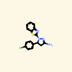 NC1=NN(c2nc3ccccc3s2)C(c2ccc(Cl)cc2)C1